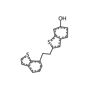 Oc1ccc2cc(CCc3cccc4ccsc34)sc2c1